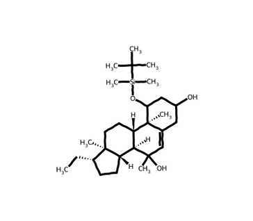 CC[C@H]1CC[C@H]2[C@H]3[C@H](CC[C@]12C)[C@]1(C)C(=CC3(C)O)CC(O)CC1O[Si](C)(C)C(C)(C)C